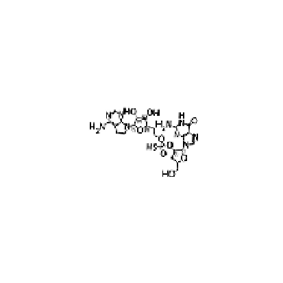 Nc1nc2c(ncn2[C@@H]2OC(CO)C[C@H]2OP(=O)(S)OCC[C@H]2O[C@@H](n3ccc4c(N)ncnc43)[C@H](O)[C@@H]2O)c(=O)[nH]1